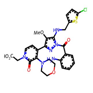 COc1c(-c2ccn(CC(=O)O)c(=O)c2N2CCOCC2)nn(C(=O)c2ccccc2N)c1NCc1ccc(Cl)s1